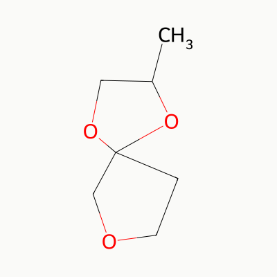 CC1COC2(CCOC2)O1